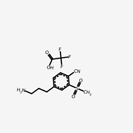 CS(=O)(=O)c1cc(CCCN)ccc1C#N.O=C(O)C(F)(F)F